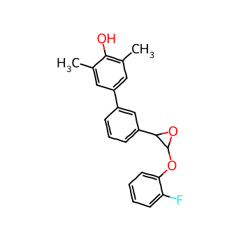 Cc1cc(-c2cccc(C3OC3Oc3ccccc3F)c2)cc(C)c1O